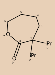 CC(C)C1(C(C)C)CCCCOC1=O